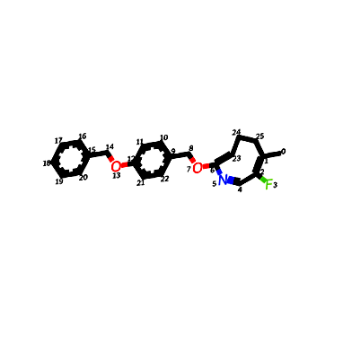 C/C1=C(F)/C=N\C(OCc2ccc(OCc3ccccc3)cc2)=C\CC1